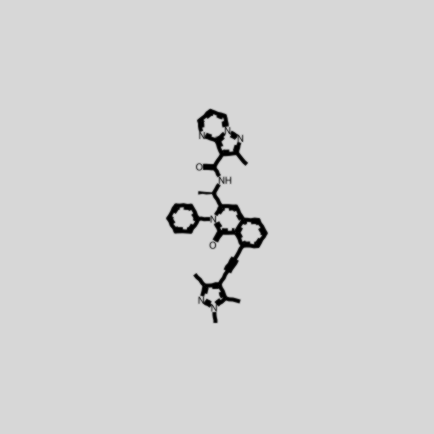 Cc1nn(C)c(C)c1C#Cc1cccc2cc([C@@H](C)NC(=O)c3c(C)nn4cccnc34)n(-c3ccccc3)c(=O)c12